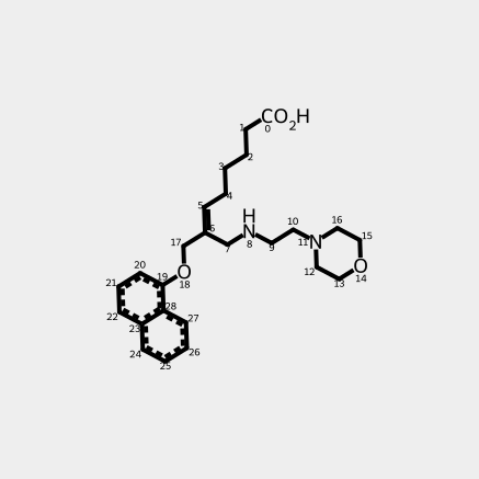 O=C(O)CCCCC=C(CNCCN1CCOCC1)COc1cccc2ccccc12